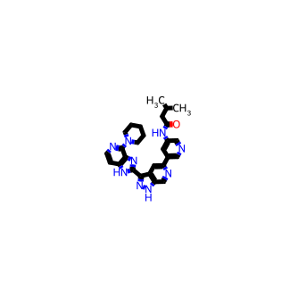 CC(C)CC(=O)Nc1cncc(-c2cc3c(-c4nc5c(N6CCCCC6)nccc5[nH]4)n[nH]c3cn2)c1